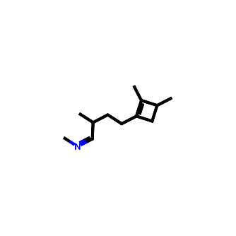 C/N=C\C(C)CCC1=C(C)C(C)C1